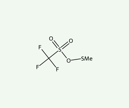 CSOS(=O)(=O)C(F)(F)F